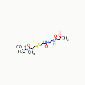 C[C@@H](O)CC(=O)NCCNC(=O)CCSSCCC(=O)N(C)[C@@H](C)C(=O)O